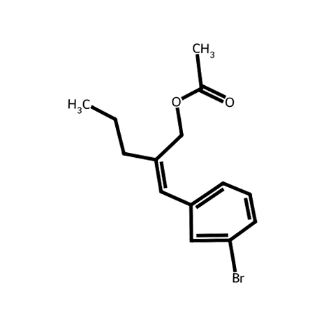 CCCC(=Cc1cccc(Br)c1)COC(C)=O